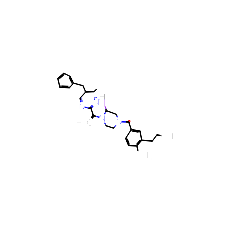 C=C(C(/N=C\C(CC)Cc1ccccc1)=N/C)N1CCN(C(=O)c2ccc(C)c(CCC)c2)CC1I